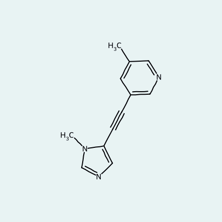 Cc1cncc(C#Cc2cncn2C)c1